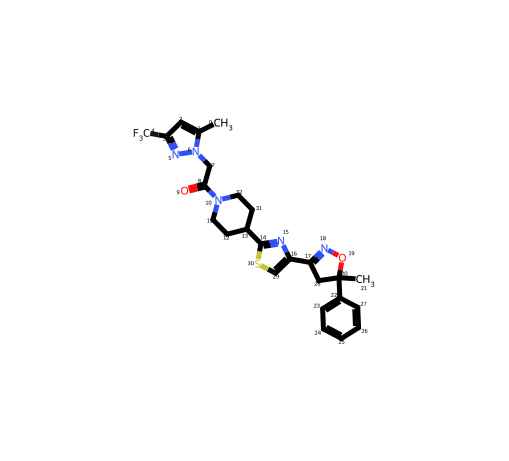 Cc1cc(C(F)(F)F)nn1CC(=O)N1CCC(c2nc(C3=NOC(C)(c4ccccc4)C3)cs2)CC1